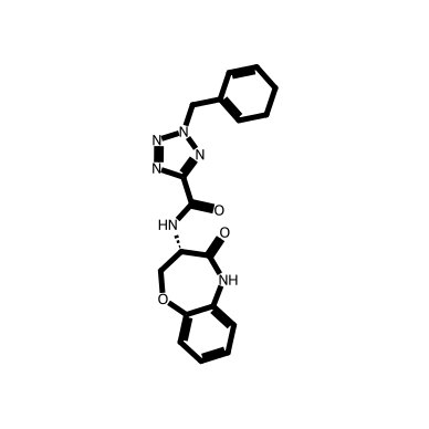 O=C(N[C@H]1COc2ccccc2NC1=O)c1nnn(CC2=CCCC=C2)n1